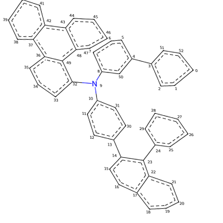 c1ccc(-c2cccc(N(c3ccc(-c4ccc5ccccc5c4-c4ccccc4)cc3)c3cccc4c5ccccc5c5ccccc5c34)c2)cc1